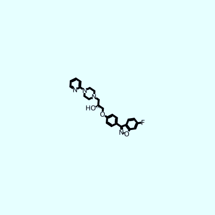 O[C@H](COc1ccc(-c2noc3cc(F)ccc23)cc1)CN1CCN(c2ccccn2)CC1